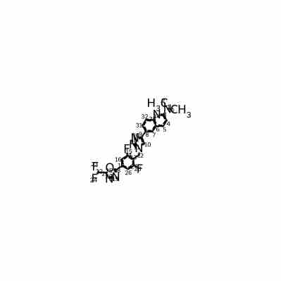 CN(C)c1ccc2cc(-c3cn(Cc4c(F)cc(-c5nnc(C(F)F)o5)cc4F)nn3)ccc2n1